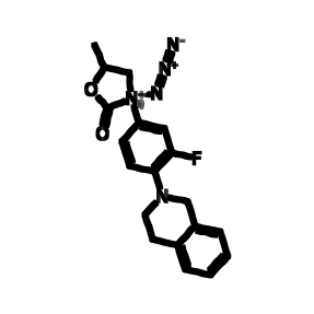 CC1C[N@+](N=[N+]=[N-])(c2ccc(N3CCc4ccccc4C3)c(F)c2)C(=O)O1